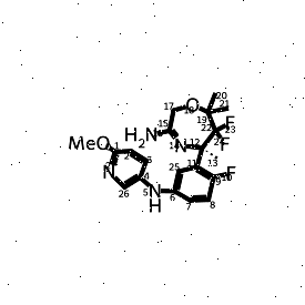 COc1ccc(Nc2ccc(F)c([C@@]3(C)N=C(N)COC(C)(C)C3(F)F)c2)cn1